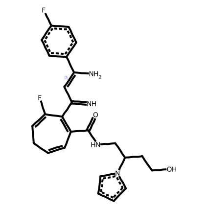 N=C(/C=C(\N)c1ccc(F)cc1)C1=C(C(=O)NCC(CCO)n2cccc2)C=CCC=C1F